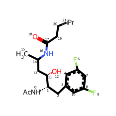 CC(=O)N[C@@H](Cc1cc(F)cc(F)c1)[C@@H](O)CC(C)NC(=O)CCC(C)C